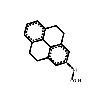 O=C(O)Nc1cc2c3c(c1)CCc1cccc(c1-3)CC2